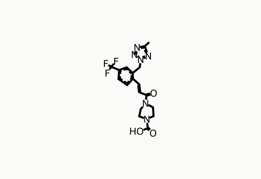 Cc1nnn(Cc2cc(C(F)(F)F)ccc2C=CC(=O)N2CCN(C(=O)O)CC2)n1